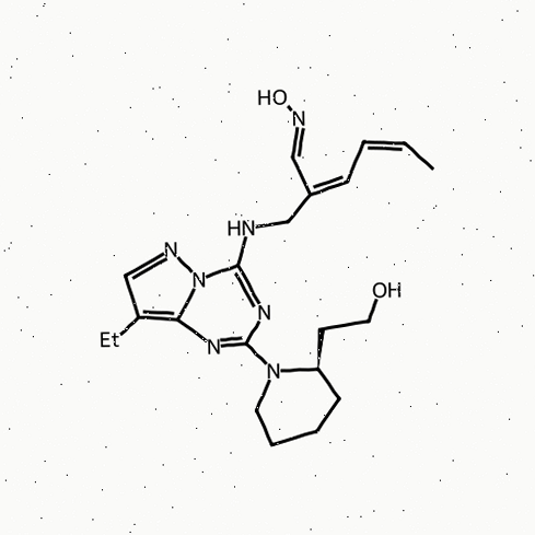 C\C=C/C=C(\C=N\O)CNc1nc(N2CCCC[C@@H]2CCO)nc2c(CC)cnn12